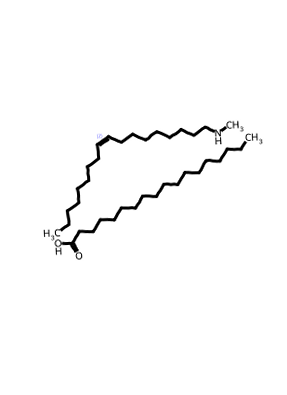 CCCCCCCC/C=C\CCCCCCCCNC.CCCCCCCCCCCCCCCCCC(=O)O